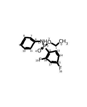 CCOP(=O)(Nc1ccccc1)c1ccc(F)cc1F